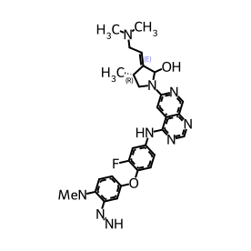 CNc1ccc(Oc2ccc(Nc3ncnc4cnc(N5C[C@H](C)/C(=C\CN(C)C)C5O)cc34)cc2F)cc1N=N